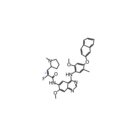 COc1cc2ncnc(Nc3cc(C)c(Oc4ccc5ccccc5c4)cc3OC)c2cc1NC(=O)/C(F)=C\C1CCCN1C